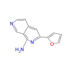 Nc1nc(-c2ccco2)cc2ccncc12